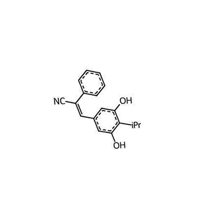 CC(C)c1c(O)cc(C=C(C#N)c2ccccc2)cc1O